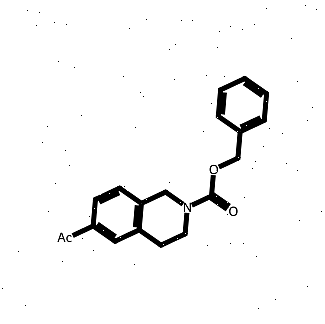 CC(=O)c1ccc2c(c1)CCN(C(=O)OCc1ccccc1)C2